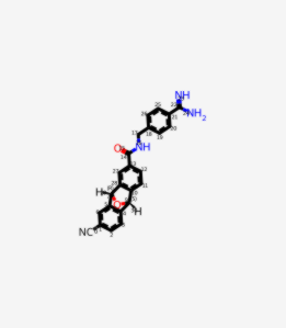 N#Cc1ccc2c(c1)[C@H]1O[C@@H]2c2ccc(C(=O)NCc3ccc(C(=N)N)cc3)cc21